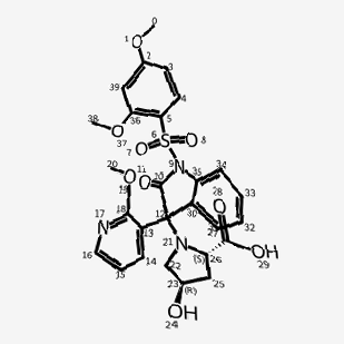 COc1ccc(S(=O)(=O)N2C(=O)C(c3cccnc3OC)(N3C[C@H](O)C[C@H]3C(=O)O)c3ccccc32)c(OC)c1